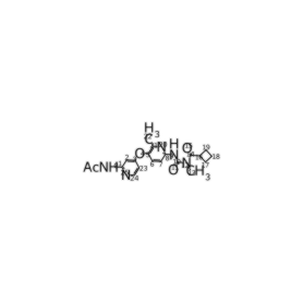 CC(=O)Nc1cc(Oc2ccc(NC(=O)N(C)C(=O)C3CCC3)nc2C)ccn1